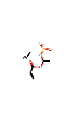 C=CC(=O)OC(C)O[PH](=O)O.CCCC